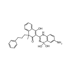 CC1(CCCc2ccccc2)C(=O)C(C2=NS(O)(O)c3cc(N)ccc3N2)=C(O)c2ccccc21